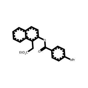 CCCc1ccc(C(=O)Oc2ccc3ccccc3c2CC(=O)OCC)cc1